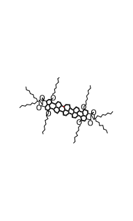 CCCCCCCCOc1cc2c3c(cc(OCCCCCCCC)c4c5ccc6c7ccc8c9ccc%10c%11c(OCCCCCCCC)cc%12c%13c(cc(OCCCCCCCC)c(c%14ccc(c%15ccc(c%16ccc(c1c34)c5c%166)c7c%158)c9c%14%10)c%13%11)C(=O)N(C(CCCCCCC)CCCCCCC)C%12=O)C(=O)N(C(CCCCCCC)CCCCCCC)C2=O